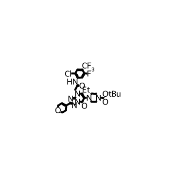 CCc1c(N2CCN(C(=O)OC(C)(C)C)CC2)c(=O)n2nc(C3=CCOCC3)nc2n1CC(=O)Nc1cc(F)c(C(F)(F)F)cc1Cl